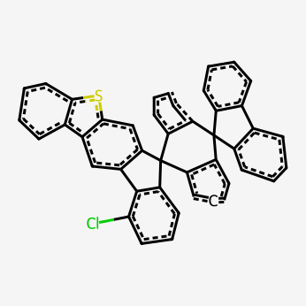 Clc1cccc2c1-c1cc3c(cc1C21c2ccccc2C2(c4ccccc4-c4ccccc42)c2ccccc21)sc1ccccc13